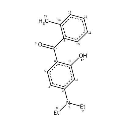 CCN(CC)c1ccc(C(=O)c2ccccc2C)c(O)c1